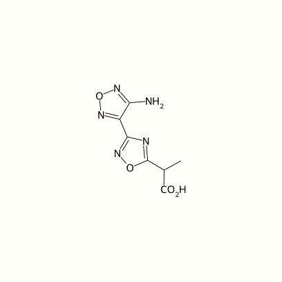 CC(C(=O)O)c1nc(-c2nonc2N)no1